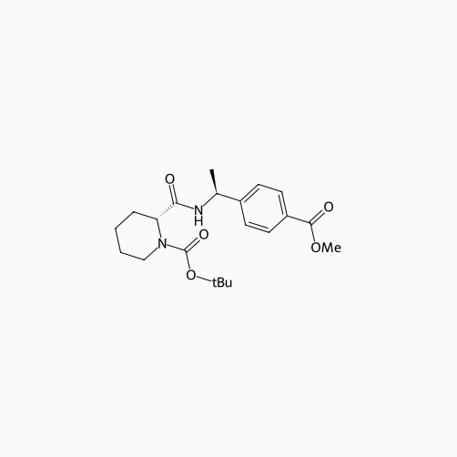 COC(=O)c1ccc([C@H](C)NC(=O)[C@H]2CCCCN2C(=O)OC(C)(C)C)cc1